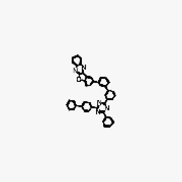 c1ccc(-c2ccc(-c3nc(-c4ccccc4)nc(-c4cccc(-c5cccc(-c6ccc7oc8nc9ccccc9nc8c7c6)c5)c4)n3)cc2)cc1